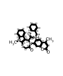 Cc1cc(=O)oc2cc(N3C(=O)CSc4c(c5ccccc5n4C)C3C(=O)NCc3ccccc3)ccc12